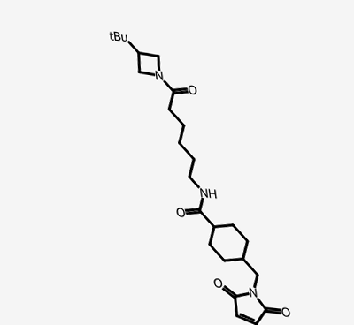 CC(C)(C)C1CN(C(=O)CCCCCNC(=O)C2CCC(CN3C(=O)C=CC3=O)CC2)C1